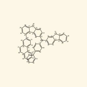 c1ccc(-c2ccc(N(c3ccc4c(c3)oc3ccccc34)c3ccc4oc5cccc(-c6ccc7c(ccc8ccccc87)c6)c5c4c3)cc2)cc1